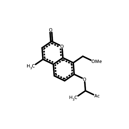 COCc1c(OC(C)C(C)=O)ccc2c(C)cc(=O)oc12